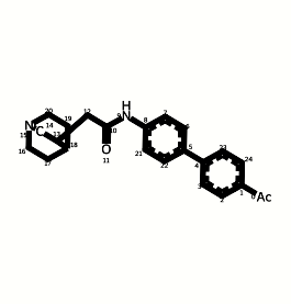 CC(=O)c1ccc(-c2ccc(NC(=O)CC3CN4CCC3CC4)cc2)cc1